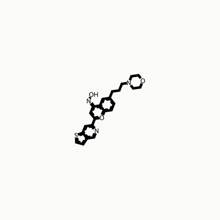 O/N=c1/cc(-c2cc3sccc3cn2)oc2ccc(CCCN3CCOCC3)cc12